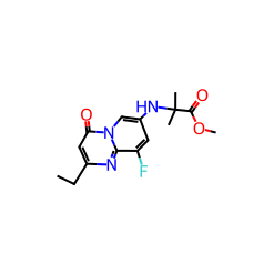 CCc1cc(=O)n2cc(NC(C)(C)C(=O)OC)cc(F)c2n1